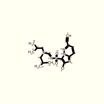 C#Cc1ccc2nc(Cl)c(S(=O)(=O)N=CN(CC(C)C)CC(C)C)n2n1